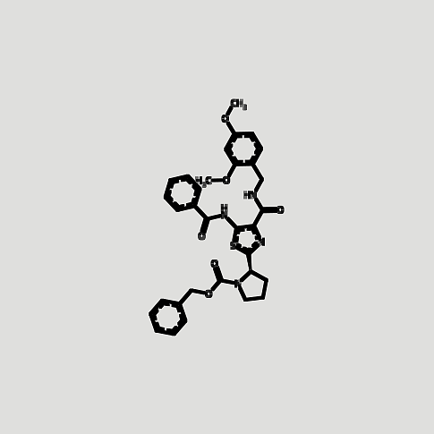 COc1ccc(CNC(=O)c2nc([C@H]3CCCN3C(=O)OCc3ccccc3)sc2NC(=O)c2ccccc2)c(OC)c1